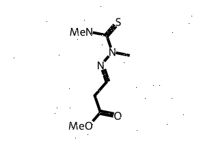 CNC(=S)N(C)N=CCC(=O)OC